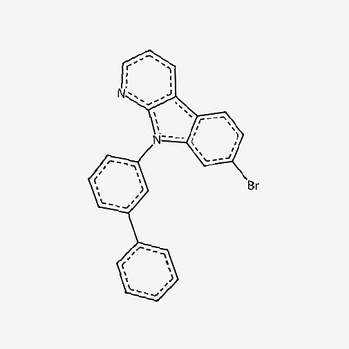 Brc1ccc2c3cccnc3n(-c3cccc(-c4ccccc4)c3)c2c1